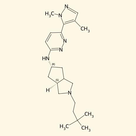 Cc1cnn(C)c1-c1ccc(N[C@@H]2CC3CN(CCC(C)(C)C)C[C@H]3C2)nn1